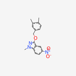 Cc1ccc(COc2nn(C)c3ccc([N+](=O)[O-])cc23)cc1C